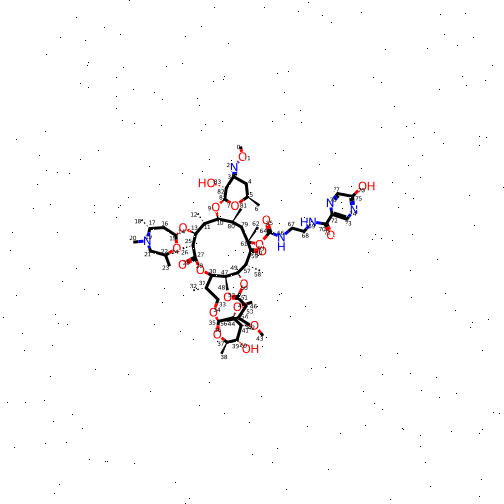 CON=C1C[C@@H](C)O[C@@H](O[C@@H]2[C@@H](C)[C@H](O[C@H]3C[C@@H](C)N(C)CC(C)O3)[C@@H](C)C(=O)OC([C@@H](C)CO[C@@H]3O[C@H](C)[C@@H](O)[C@@H](OC)[C@H]3OC)[C@H](C)[C@@H](OC(=O)CC(C)C)[C@@H](C)C(=O)[C@@](C)(OC(=O)NCCNC(=O)c3cnc(O)cn3)C[C@@H]2C)[C@@H]1O